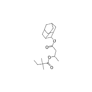 CCC(C)(C)C(=O)OC(C)CC(=O)OC1C2CC3CC(C2)CC1C3